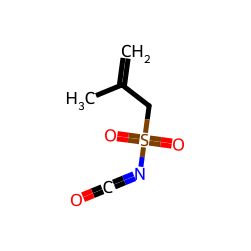 C=C(C)CS(=O)(=O)N=C=O